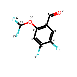 O=Cc1cc(F)c(F)cc1OC(F)F